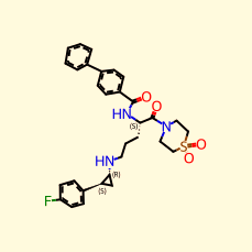 O=C(N[C@@H](CCCN[C@@H]1C[C@H]1c1ccc(F)cc1)C(=O)N1CCS(=O)(=O)CC1)c1ccc(-c2ccccc2)cc1